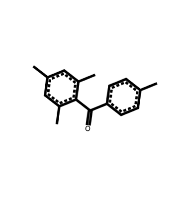 Cc1ccc(C(=O)c2c(C)cc(C)cc2C)cc1